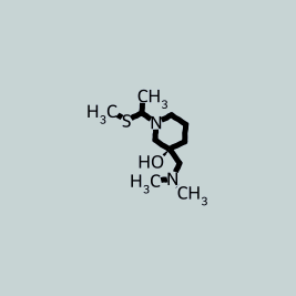 CSC(C)N1CCC[C@@](O)(CN(C)C)C1